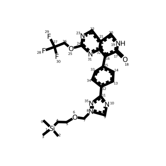 C[Si](C)(C)CCOCn1cnc(-c2ccc(-c3c(=O)[nH]cc4cnc(OCC(F)(F)F)nc34)cc2)n1